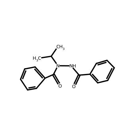 CC(C)N(NC(=O)c1ccccc1)C(=O)c1ccccc1